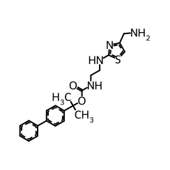 CC(C)(OC(=O)NCCNc1nc(CN)cs1)c1ccc(-c2ccccc2)cc1